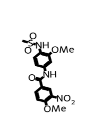 COc1cc(NC(=O)c2ccc(OC)c([N+](=O)[O-])c2)ccc1NS(C)(=O)=O